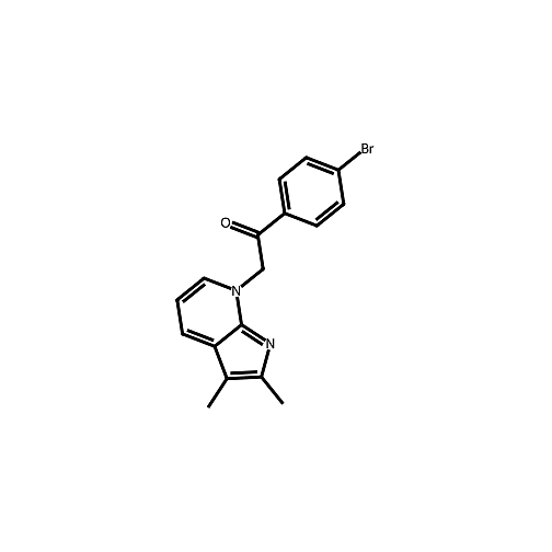 Cc1nc2n(CC(=O)c3ccc(Br)cc3)cccc-2c1C